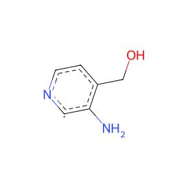 Nc1[c]nccc1CO